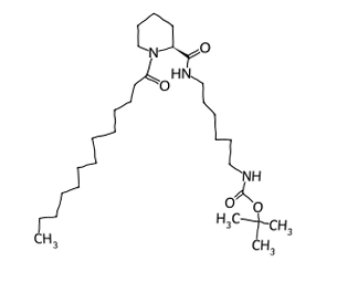 CCCCCCCCCCCCC(=O)N1CCCC[C@H]1C(=O)NCCCCCCNC(=O)OC(C)(C)C